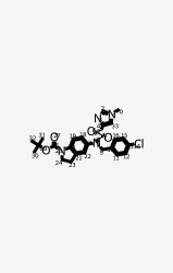 Cn1cnc(S(=O)(=O)N(Cc2ccc(Cl)cc2)c2ccc3c(c2)CCN3C(=O)OC(C)(C)C)c1